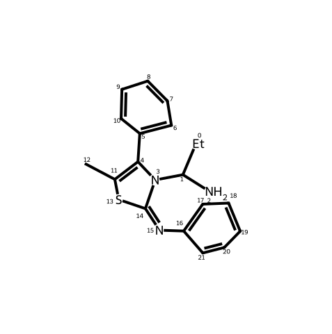 CCC(N)n1c(-c2ccccc2)c(C)s/c1=N/c1ccccc1